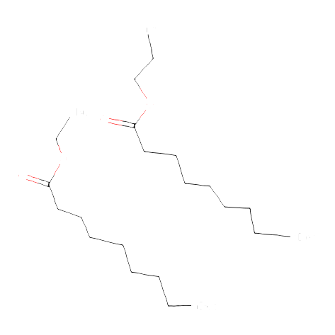 CCCCCCCCCCCCCCCCCC(=O)OCC(C)(C)C.CCCCCCCCCCCCCCCCCC(=O)OCCC(C)C